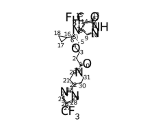 O=C(CCOC[C@@H](Nc1cn[nH]c(=O)c1C(F)(F)F)C1CC1)N1CCC(c2ncc(C(F)(F)F)cn2)CC1